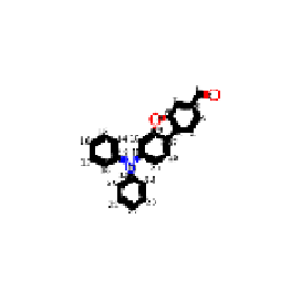 O=Cc1ccc2c(c1)oc1cc(N(c3ccccc3)c3ccccc3)ccc12